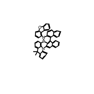 CC1(C)c2ccccc2N2c3cc4ccccc4c4c3B(c3cccc1c32)N(c1cccc2oc3ccccc3c12)c1ccc2ccccc2c1-4